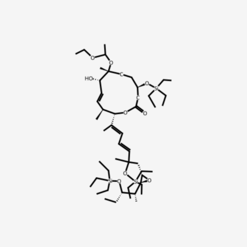 CCOC(C)O[C@]1(C)CC[C@@H](O[Si](CC)(CC)CC)CC(=O)O[C@H](/C(C)=C/C=C/C(C)(C[C@@H]2O[C@H]2[C@H](C)[C@H](CC)O[Si](CC)(CC)CC)O[Si](CC)(CC)CC)[C@@H](C)/C=C/[C@@H]1O